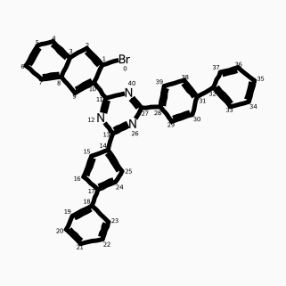 Brc1cc2ccccc2cc1-c1nc(-c2ccc(-c3ccccc3)cc2)nc(-c2ccc(-c3ccccc3)cc2)n1